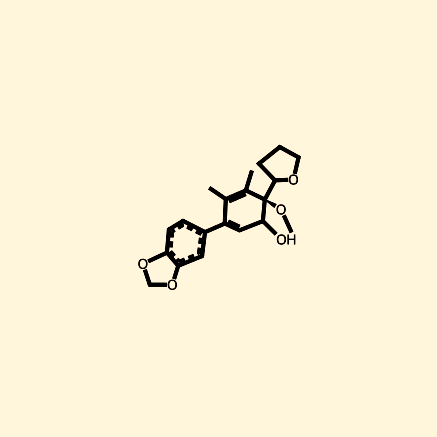 CO[C@]1(C2CCCO2)C(C)=C(C)C(c2ccc3c(c2)OCO3)=CC1O